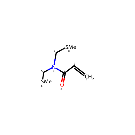 C=CC(=O)N(CSC)CSC